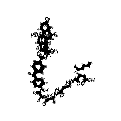 CCCCC(C)SC(CC(=O)O)C(=O)NCCC(=O)N[C@@H](C)C(=O)N[C@@H](C)C(=O)Nc1ccc([C@H](C)c2ccc([C@@H]3O[C@@H]4C[C@H]5[C@@H]6C[C@H](F)C7=CC(=O)C=C[C@]7(C)[C@@]6(F)[C@@H](O)C[C@]5(C)[C@]4(C(=O)CO)O3)cc2)cc1